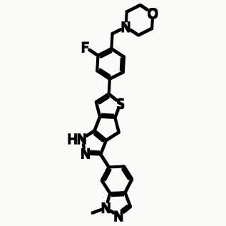 Cn1ncc2ccc(-c3n[nH]c4c3Cc3sc(-c5ccc(CN6CCOCC6)c(F)c5)cc3-4)cc21